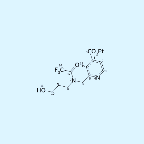 CCOC(=O)c1ccnc(CN(CCCO)C(=O)C(F)(F)F)c1